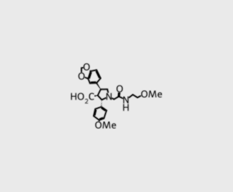 COCCNC(=O)CN1C[C@H](c2ccc3c(c2)OCO3)[C@H](C(=O)O)[C@H]1c1ccc(OC)cc1